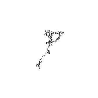 CCc1cn(-c2ccc(CCCCn3cc(CCN(C)[C@H]4C[C@@H](C)O[C@@H](O[C@@H]5[C@@H](C)[C@H](O[C@H]6C[C@@](C)(OC)[C@@H](O)[C@H](C)O6)[C@@H](C)C(=O)O[C@H](CC)[C@@](C)(O)[C@H](O)[C@@H](C)N(C)C[C@H](C)C[C@@]5(C)O)[C@@H]4O)nn3)cc2)nn1